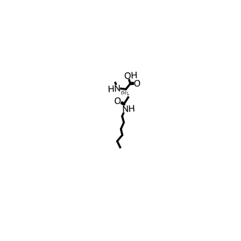 CCCCCCNC(=O)C[C@H](NC)C(=O)O